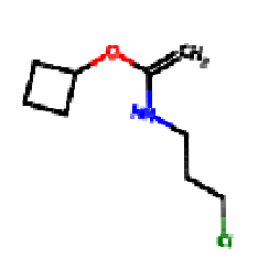 C=C(NCCCCl)OC1CCC1